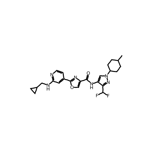 CC1CCC(n2cc(NC(=O)c3coc(-c4ccnc(NCC5CC5)c4)n3)c(C(F)F)n2)CC1